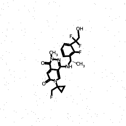 C[C@H](Nc1nn(C)c(=O)c2cc(=O)n(C3(CF)CC3)cc12)c1cccc(C(F)(F)CO)c1F